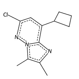 Cc1nc2c(C3CCC3)cc(Cl)nn2c1C